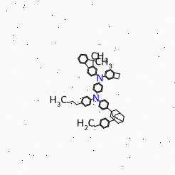 C=Cc1ccc(C23CC4CC(C2)CC(c2ccc(N(c5ccc(CCCC)cc5)c5ccc(N(c6ccc7c(c6)CC7)c6ccc7c(c6)C(C)(C)c6ccccc6-7)cc5)cc2)(C4)C3)cc1